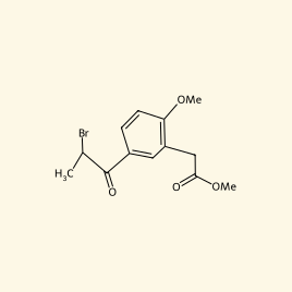 COC(=O)Cc1cc(C(=O)C(C)Br)ccc1OC